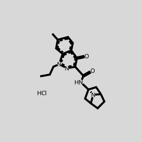 CCCn1nc(C(=O)NC2CC3CCC(C2)N3C)c(=O)c2ccc(C)cc21.Cl